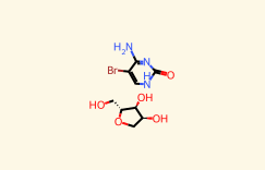 Nc1nc(=O)[nH]cc1Br.OC[C@H]1OC[C@H](O)[C@@H]1O